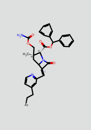 CC(=O)CCc1ccnc(/C=C2/C(=O)N3C2C[C@@](C)(COC(N)=O)[C@@H]3C(=O)OC(c2ccccc2)c2ccccc2)c1